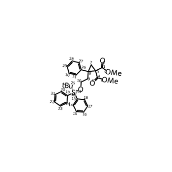 COC(=O)C1(C(=O)OC)CC1(CCO[Si](c1ccccc1)(c1ccccc1)C(C)(C)C)c1ccccc1